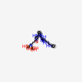 O=C(CCCCCN(CCP(O)O)CCP(O)O)N1CCC(Nc2nc(NCc3cn(CCCNCCCNC4CCCCC4)nn3)nc3ccccc23)CC1